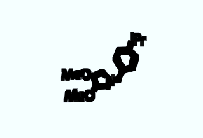 COC1CN(Cc2ccc(C(C)C)cc2)CC1OC